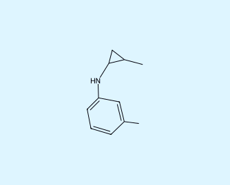 Cc1cccc(NC2CC2C)c1